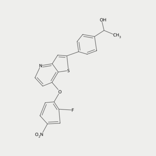 CC(O)c1ccc(-c2cc3nccc(Oc4ccc([N+](=O)[O-])cc4F)c3s2)cc1